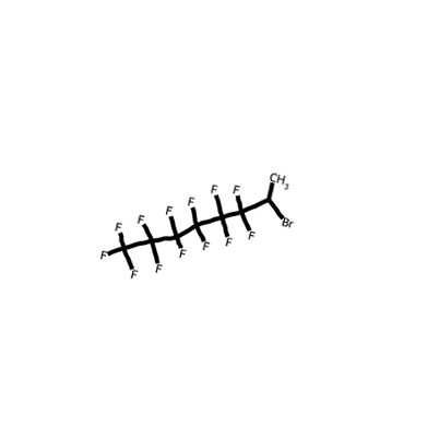 CC(Br)C(F)(F)C(F)(F)C(F)(F)C(F)(F)C(F)(F)C(F)(F)F